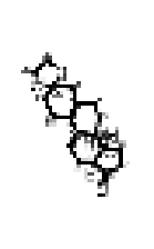 CCC12CC=C3C4=C(CC[C@H]3[C@@H]1CCC2=O)CC1(CC4)OCCO1